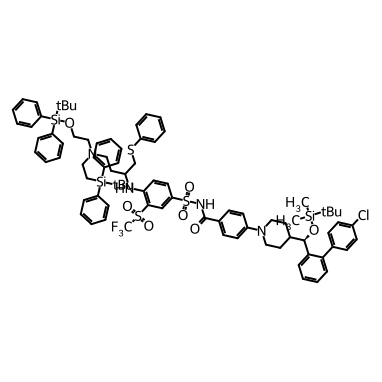 CC(C)(C)[Si](C)(C)O[C@@H](c1ccccc1-c1ccc(Cl)cc1)C1CCN(c2ccc(C(=O)NS(=O)(=O)c3ccc(NC(CCN(CCO[Si](c4ccccc4)(c4ccccc4)C(C)(C)C)CC[Si](c4ccccc4)(c4ccccc4)C(C)(C)C)CSc4ccccc4)c(S(=O)(=O)C(F)(F)F)c3)cc2)CC1